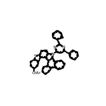 COc1ccc2sc3ccc4c(c3c2c1)c1c2ccccc2c2ccccc2c1n4-c1cc(-c2ccccc2)nc(-c2ccccc2)n1